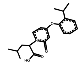 CC(C)CC(C(=O)O)n1ccc(Oc2ccccc2C(C)C)cc1=O